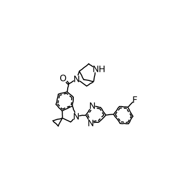 O=C(c1ccc2c(c1)N(c1ncc(-c3cccc(F)c3)cn1)CC21CC1)N1CC2CC1CN2